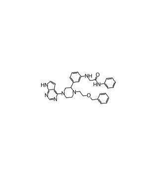 O=C(CNc1cccc(C2CN(c3ncnc4[nH]ccc34)CCN2CCOCc2ccccc2)c1)Nc1ccccc1